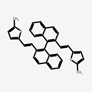 Cc1ccc(/C=C/c2ccc3ccccc3c2-c2c(/C=C/c3ccc(C)s3)ccc3ccccc23)s1